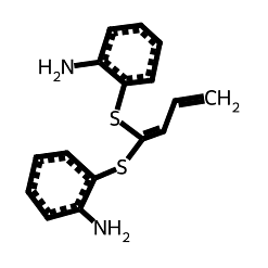 C=CC=C(Sc1ccccc1N)Sc1ccccc1N